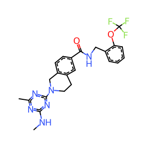 CNc1nc(C)nc(N2CCc3cc(C(=O)NCc4ccccc4OC(F)(F)F)ccc3C2)n1